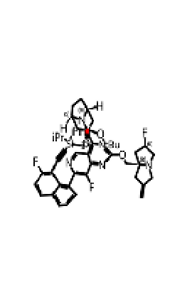 C=C1CN2C[C@H](F)C[C@@]2(COc2nc(N3C[C@H]4CC[C@@H](C3)N4C(=O)OC(C)(C)C)c3cnc(-c4cccc5ccc(F)c(C#C[Si](C(C)C)(C(C)C)C(C)C)c45)c(F)c3n2)C1